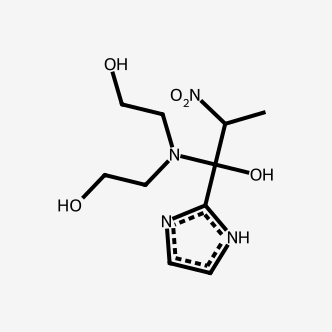 CC([N+](=O)[O-])C(O)(c1ncc[nH]1)N(CCO)CCO